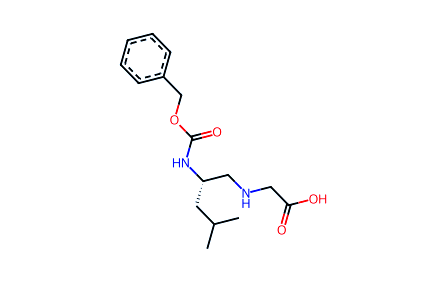 CC(C)C[C@@H](CNCC(=O)O)NC(=O)OCc1ccccc1